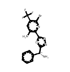 Nc1cc(C(F)(F)F)c(Br)nc1-c1nnc([C@H](N)c2ccccc2)o1